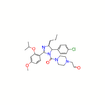 CCCC1N=C(c2ccc(OC)cc2OC(C)C)N(C(=O)N2CCN(CC=O)CC2)C1c1ccc(Cl)cc1